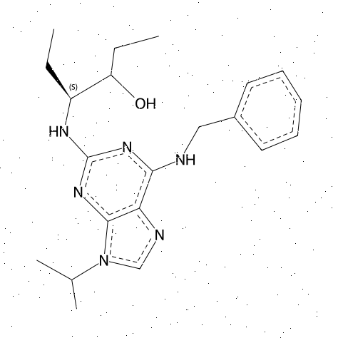 CCC(O)[C@H](CC)Nc1nc(NCc2ccccc2)c2ncn(C(C)C)c2n1